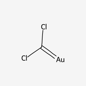 Cl[C](Cl)=[Au]